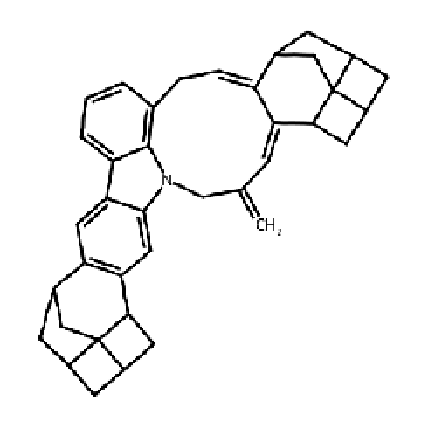 C=C1/C=C2\C(=C/Cc3cccc4c5cc6c(cc5n(c34)C1)C1CC3CC4CC6CC431)C1CC3CC4CC2C34C1